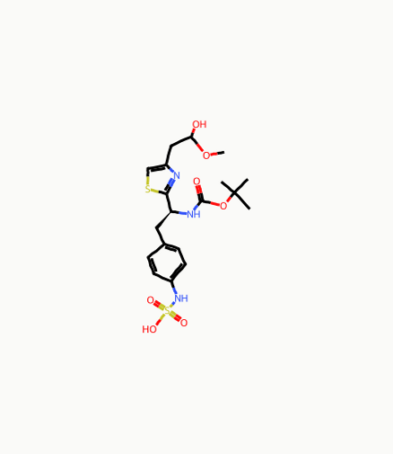 COC(O)Cc1csc([C@H](Cc2ccc(NS(=O)(=O)O)cc2)NC(=O)OC(C)(C)C)n1